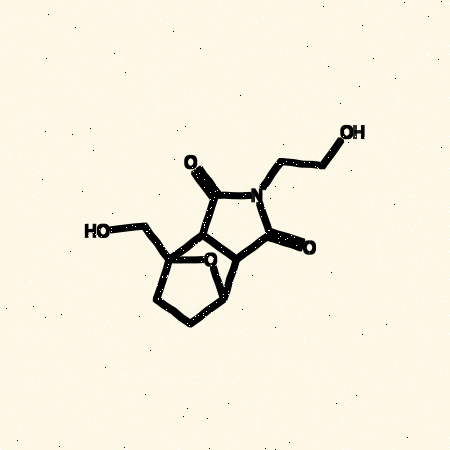 O=C1C2C3CCC(CO)(O3)C2C(=O)N1CCO